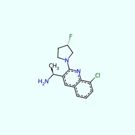 C[C@H](N)c1cc2cccc(Cl)c2nc1N1CC[C@H](F)C1